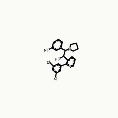 N#Cc1cccc(C(C(O)c2cccnc2-c2cc(Cl)cc(Cl)c2)N2CCCC2)c1